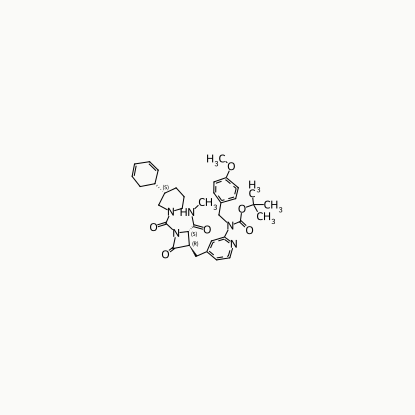 CNC(=O)[C@@H]1[C@@H](Cc2ccnc(N(Cc3ccc(OC)cc3)C(=O)OC(C)(C)C)c2)C(=O)N1C(=O)N1CCC[C@@H](C2C=CC=CC2)C1